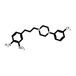 Nc1ccc(CCCN2CCN(c3cccc(C(F)(F)F)c3)CC2)cc1[N+](=O)[O-]